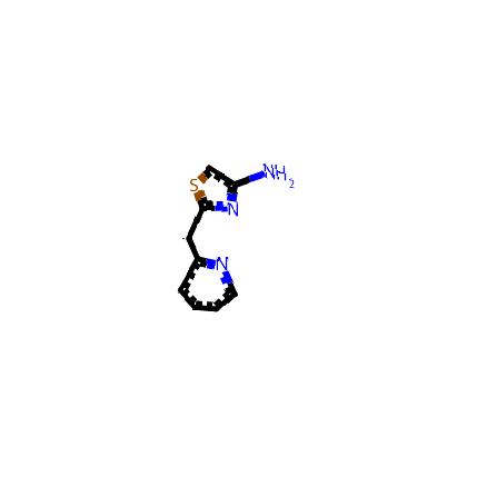 Nc1csc([CH]c2ccccn2)n1